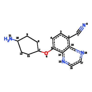 N#Cc1ccc(OC2CCC(N)CC2)c2nccnc12